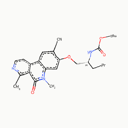 Cc1nccc2c1c(=O)n(C)c1cc(OC[C@@H](CC(C)C)NC(=O)OC(C)(C)C)c(C#N)cc21